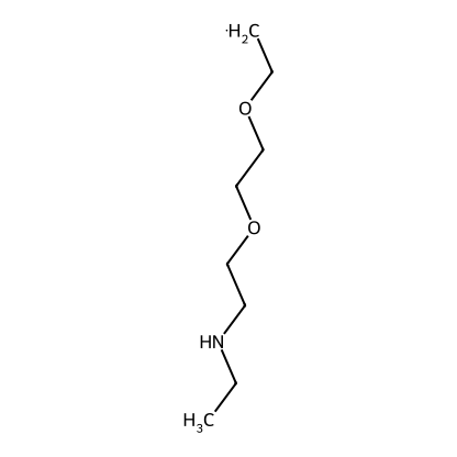 [CH2]COCCOCCNCC